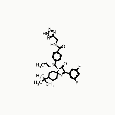 CCC[C@H](c1ccc(C(=O)NCc2nn[nH]n2)cc1)N1C(=O)C(c2cc(F)cc(F)c2)=NC12CCC(C(C)(C)C)CC2